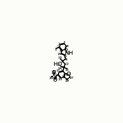 Cc1cccc2[nH]c(CC(C)(O)CC(C)(C)c3cc(S(C)(=O)=O)cc4c3OCC4)cc12